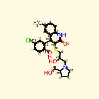 O=c1[nH]c2ccc(C(F)(F)F)cc2c(-c2cc(Cl)ccc2O)c1SCC(O)CN1CCCC1CO